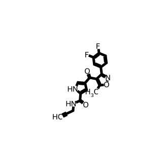 C#CCNC(=O)c1cc(C(=O)c2c(-c3ccc(F)c(F)c3)noc2C)c[nH]1